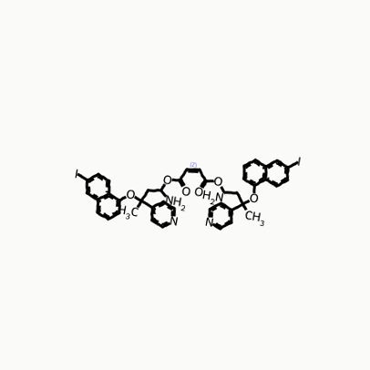 CC(CC(N)OC(=O)/C=C\C(=O)OC(N)CC(C)(Oc1cccc2cc(I)ccc12)c1ccncc1)(Oc1cccc2cc(I)ccc12)c1ccncc1